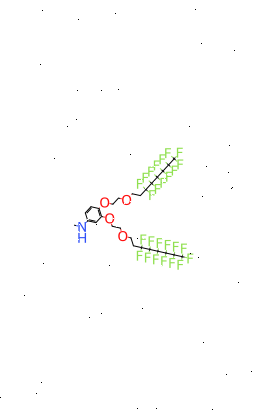 CNc1ccc(OCCOCCC(F)(F)C(F)(F)C(F)(F)C(F)(F)C(F)(F)C(F)(F)F)c(OCCOCCC(F)(F)C(F)(F)C(F)(F)C(F)(F)C(F)(F)C(F)(F)F)c1